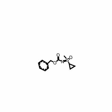 CS(=O)(=NC(=O)OCc1ccccc1)C1CC1